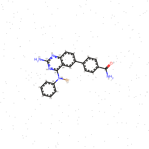 NC(=O)c1ccc(-c2ccc3nc(N)nc(N(Br)c4ccccc4)c3c2)cc1